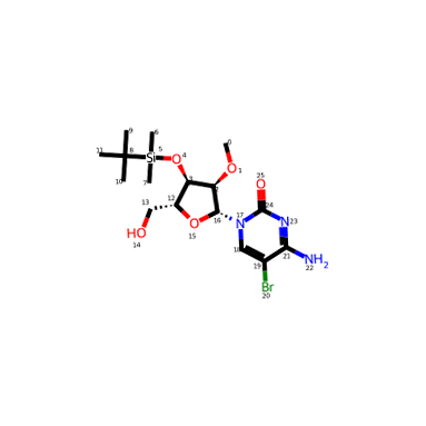 CO[C@@H]1[C@H](O[Si](C)(C)C(C)(C)C)[C@@H](CO)O[C@H]1n1cc(Br)c(N)nc1=O